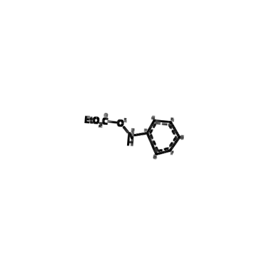 CCOC(=O)ONc1ccccc1